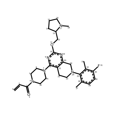 C=CC(=O)N1CCN(c2nc(OCC3CCCN3C)nc3c2CCN(c2c(C)ccc(F)c2C)C3)CC1